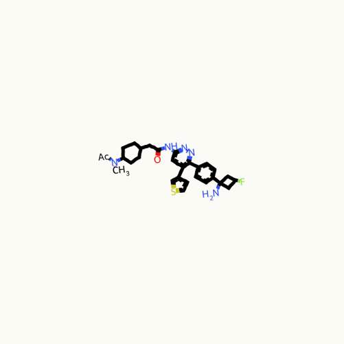 CC(=O)N(C)C1CCC(CC(=O)Nc2cc(-c3ccsc3)c(-c3ccc(C4(N)CC(F)C4)cc3)nn2)CC1